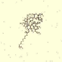 CCCCCCCCCC(=O)O[C@H]1C[C@]2(CC[C@@](C)([C@H]3CC[C@@](C)(C4O[C@@H]([C@H]5O[C@@](O)(CO)[C@H](C)C[C@@H]5C)C[C@@H]4C)O3)O2)O[C@H]([C@@H](C)[C@@H](OC(=O)CC)[C@@H](C)C(=O)O)[C@@H]1C